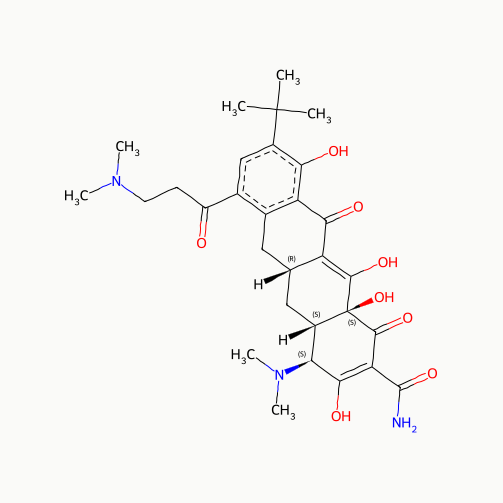 CN(C)CCC(=O)c1cc(C(C)(C)C)c(O)c2c1C[C@H]1C[C@H]3[C@H](N(C)C)C(O)=C(C(N)=O)C(=O)[C@@]3(O)C(O)=C1C2=O